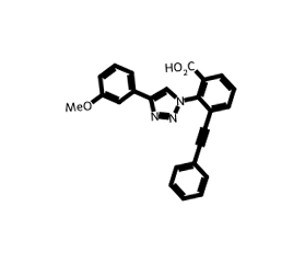 COc1cccc(-c2cn(-c3c(C#Cc4ccccc4)cccc3C(=O)O)nn2)c1